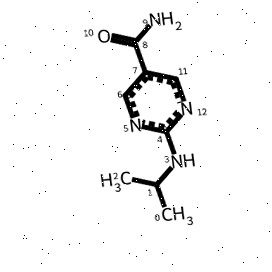 CC(C)Nc1ncc(C(N)=O)cn1